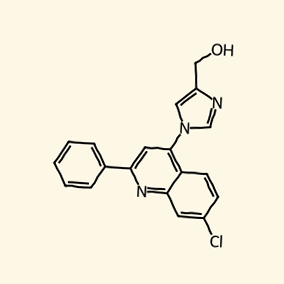 OCc1cn(-c2cc(-c3ccccc3)nc3cc(Cl)ccc23)cn1